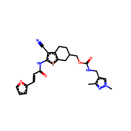 Cc1nn(C)cc1CNC(=O)OCC1CCc2c(sc(NC(=O)C=Cc3ccco3)c2C#N)C1